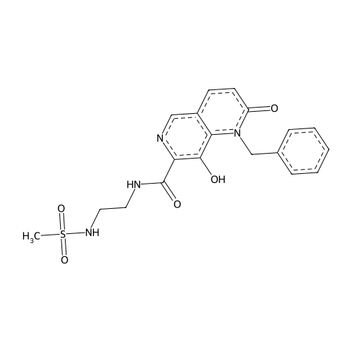 CS(=O)(=O)NCCNC(=O)c1ncc2ccc(=O)n(Cc3ccccc3)c2c1O